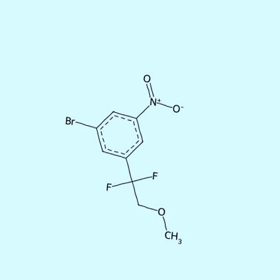 COCC(F)(F)c1cc(Br)cc([N+](=O)[O-])c1